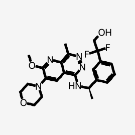 COc1nc2c(C)nnc(N[C@H](C)c3cccc(C(F)(F)CO)c3)c2cc1N1CCOCC1